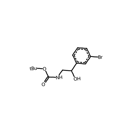 CC(C)(C)OC(=O)NCC(O)c1cccc(Br)c1